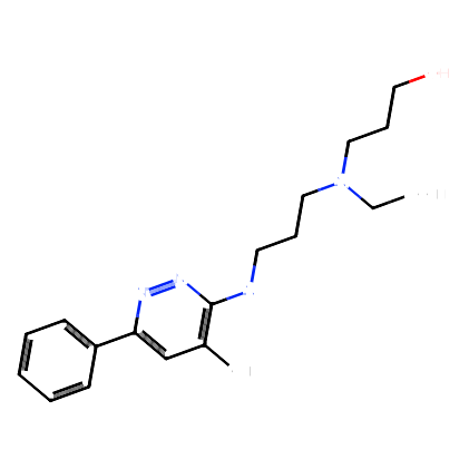 Cc1cc(-c2ccccc2)nnc1NCCCN(CCCO)CC(=O)O